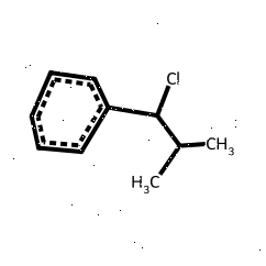 CC(C)C(Cl)c1ccccc1